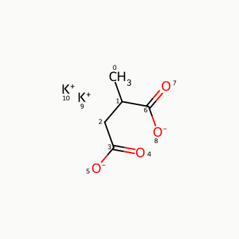 CC(CC(=O)[O-])C(=O)[O-].[K+].[K+]